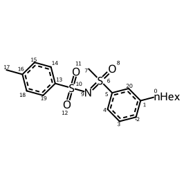 CCCCCCc1[c]ccc(S(C)(=O)=NS(=O)(=O)c2ccc(C)cc2)c1